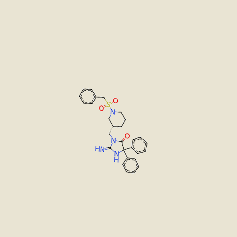 N=C1NC(c2ccccc2)(c2ccccc2)C(=O)N1C[C@H]1CCCN(S(=O)(=O)Cc2ccccc2)C1